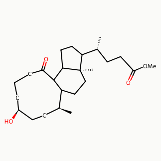 COC(=O)CC[C@@H](C)C1CCC2C3C(=O)CCC[C@H](O)CC[C@H](C)C3CC[C@@]21C